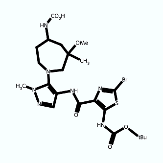 COC1(C)CC(NC(=O)O)CCN(c2c(NC(=O)c3nc(Br)sc3NC(=O)OC(C)(C)C)cnn2C)C1